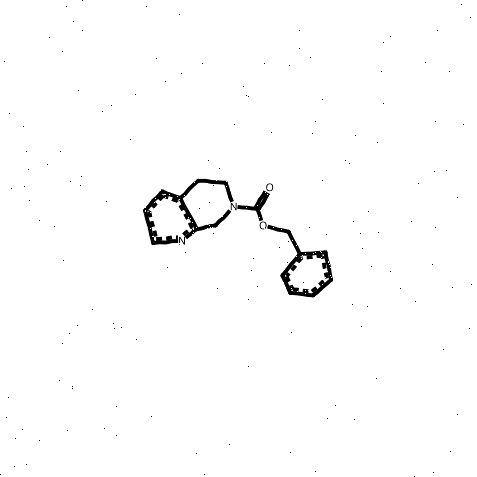 O=C(OCc1ccccc1)N1CCc2cccnc2C1